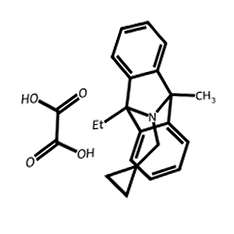 CCC12c3ccccc3C(C)(c3ccccc31)N2CC1CC1.O=C(O)C(=O)O